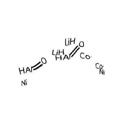 [Co].[Co].[LiH].[LiH].[Ni].[Ni].[O]=[AlH].[O]=[AlH]